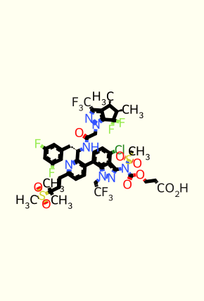 C[C@@H]1c2c(C(F)(F)F)nn(CC(=O)N[C@@H](Cc3cc(F)cc(F)c3)c3nc(CCC(C)(C)S(C)(=O)=O)ccc3-c3ccc(Cl)c4c(N(C(=O)OCCC(=O)O)S(C)(=O)=O)nn(CC(F)(F)F)c34)c2C(F)(F)[C@@H]1C